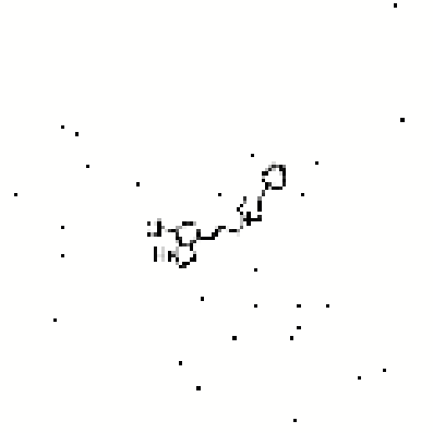 Clc1ccc(C=CCN2CC=C(c3ccccc3)CC2)c2cc[nH]c12